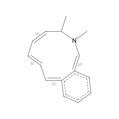 CC1\C=C/C=C/C=c2/cccc/c2=C/N1C